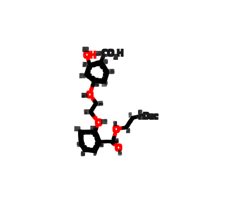 CCCCCCCCCCCCOC(=O)c1ccccc1OCCOc1ccc(C(=O)O)c(O)c1